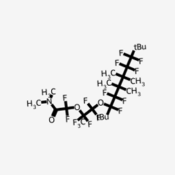 CN(C)C(=O)C(F)(F)OC(F)(C(F)(F)F)C(F)(F)OC(F)(C(C)(C)C)C(F)(F)C(C)(C)C(C)(C)C(F)(F)C(F)(F)C(C)(C)C